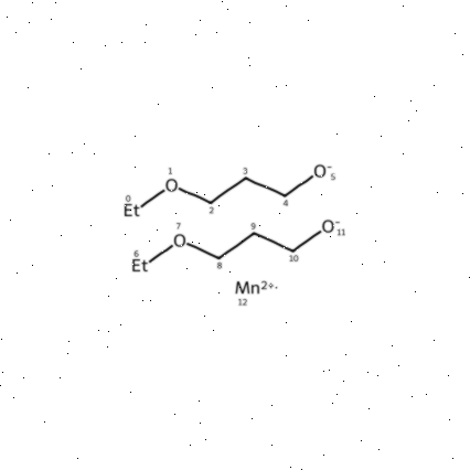 CCOCCC[O-].CCOCCC[O-].[Mn+2]